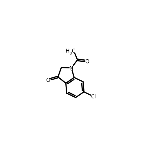 CC(=O)N1CC(=O)c2ccc(Cl)cc21